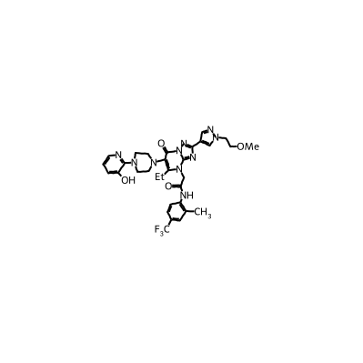 CCc1c(N2CCN(c3ncccc3O)CC2)c(=O)n2nc(-c3cnn(CCOC)c3)nc2n1CC(=O)Nc1ccc(C(F)(F)F)cc1C